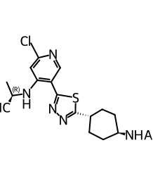 CC(=O)N[C@H]1CC[C@H](c2nnc(-c3cnc(Cl)cc3N[C@H](C)C#N)s2)CC1